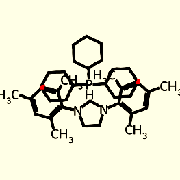 Cc1cc(C)c(N2CCN(c3c(C)cc(C)cc3C)C2[PH](C2CCCCC2)(C2CCCCC2)C2CCCCC2)c(C)c1